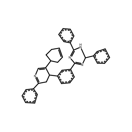 C1=CCC(C2=CN=C(c3ccccc3)CC2c2cccc(C3=NC(c4ccccc4)NC(c4ccccc4)=N3)c2)CC1